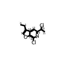 CCc1coc2c(Cl)nc(C(C)Cl)cc12